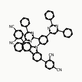 N#Cc1ccc(-c2ccc3c4ccc(-c5ccc(C#N)cc5C#N)cc4n(-c4ccc(-c5cc(-c6ccccc6)nc(-c6ccccc6)n5)cc4-c4nc(-c5ccccc5)cc(-c5ccccc5)n4)c3c2)c(C#N)c1